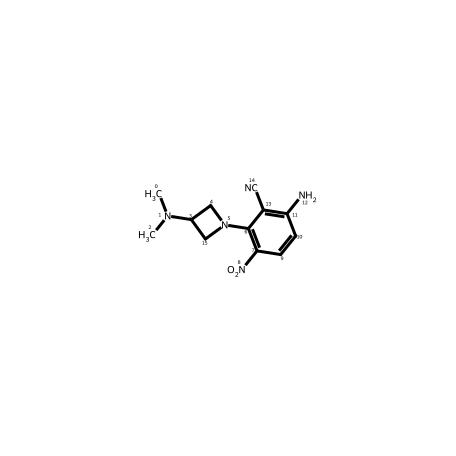 CN(C)C1CN(c2c([N+](=O)[O-])ccc(N)c2C#N)C1